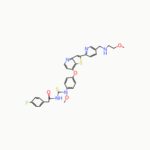 COCCNCc1ccc(-c2cc3nccc(Oc4ccc(N(OC)C(=S)NC(=O)Cc5ccc(F)cc5)cc4)c3s2)nc1